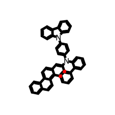 c1ccc(-c2ccccc2N(c2ccc(-n3c4ccccc4c4ccccc43)cc2)c2ccc3c(ccc4c5ccccc5ccc34)c2)cc1